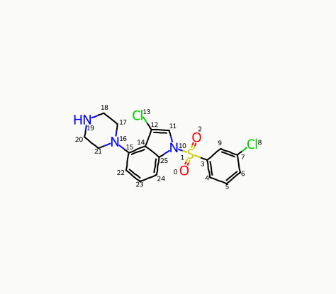 O=S(=O)(c1cccc(Cl)c1)n1cc(Cl)c2c(N3CCNCC3)cccc21